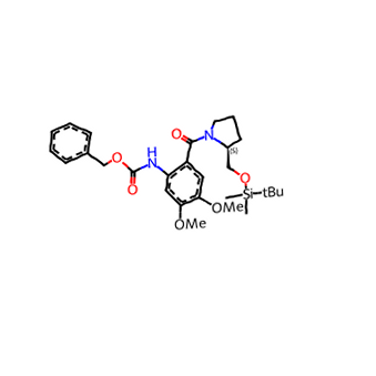 COc1cc(NC(=O)OCc2ccccc2)c(C(=O)N2CCC[C@H]2CO[Si](C)(C)C(C)(C)C)cc1OC